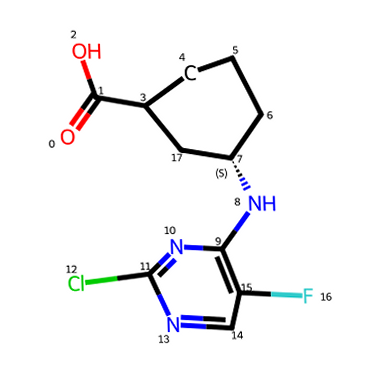 O=C(O)C1CCC[C@H](Nc2nc(Cl)ncc2F)C1